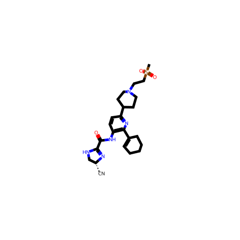 CS(=O)(=O)CCN1CCC(c2ccc(NC(=O)C3=N[C@H](C#N)CN3)c(C3=CCCCC3)n2)CC1